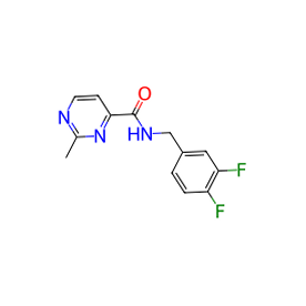 Cc1nccc(C(=O)NCc2ccc(F)c(F)c2)n1